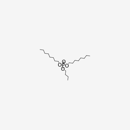 CCCCCCCCOP(=O)(OCCCC)OCCCCCCCC